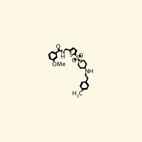 COc1cccc(C(=O)NCc2ccc(S(=O)(=O)N3CCC(NCCc4ccc(C)cc4)CC3)s2)c1